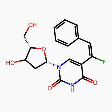 O=c1[nH]c(=O)n([C@@H]2CC(O)[C@H](CO)O2)cc1/C(F)=C\c1ccccc1